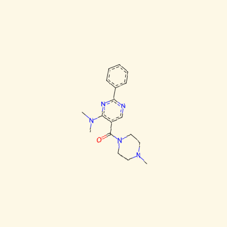 CN1CCN(C(=O)c2cnc(-c3ccccc3)nc2N(C)C)CC1